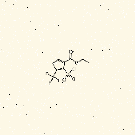 CCOC(=O)c1csc(C(F)(F)F)c1S(=O)(=O)Cl